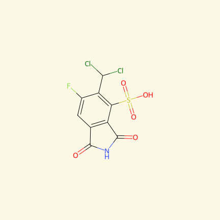 O=C1NC(=O)c2c1cc(F)c(C(Cl)Cl)c2S(=O)(=O)O